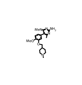 CNc1nc(N)nc(C)c1-c1ccc(OC)c(OCC2CCN(C)CC2)c1